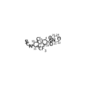 O=S(=O)(c1ccc(-c2c(Cl)cc(N=C=S)cc2C(F)(F)F)cc1)N1CCOCC1